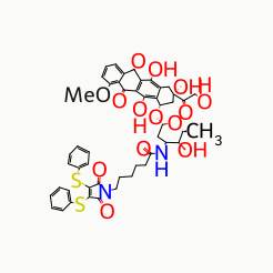 COc1cccc2c1C(=O)c1c(O)c3c(c(O)c1C2=O)C[C@@](O)(C(=O)CO)C[C@@H]3O[C@H]1C[C@H](NC(=O)CCCCCN2C(=O)C(Sc3ccccc3)=C(Sc3ccccc3)C2=O)[C@H](O)[C@H](C)O1